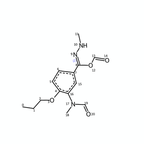 CCCOc1ccc(/C(=N/NC)OC=O)cc1N(C)C=O